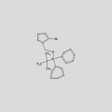 CC(C)(C)[Si](OCc1sccc1Br)(c1ccccc1)c1ccccc1